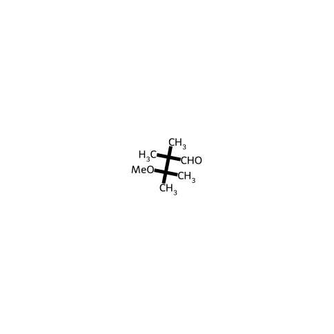 COC(C)(C)C(C)(C)C=O